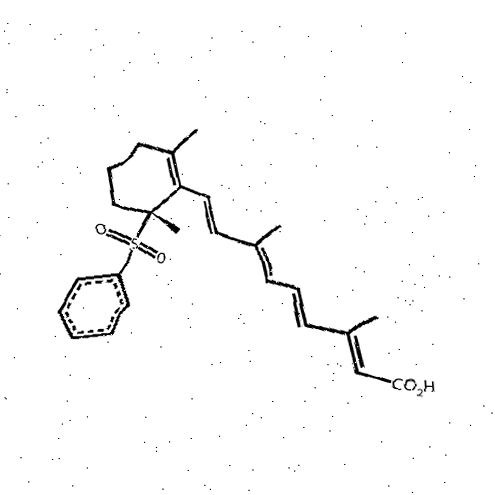 CC1=C(/C=C/C(C)=C/C=C/C(C)=C/C(=O)O)[C@](C)(S(=O)(=O)c2ccccc2)CCC1